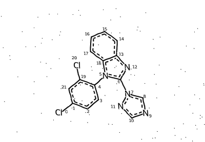 Clc1ccc(-n2c(-n3cncn3)nc3ccccc32)c(Cl)c1